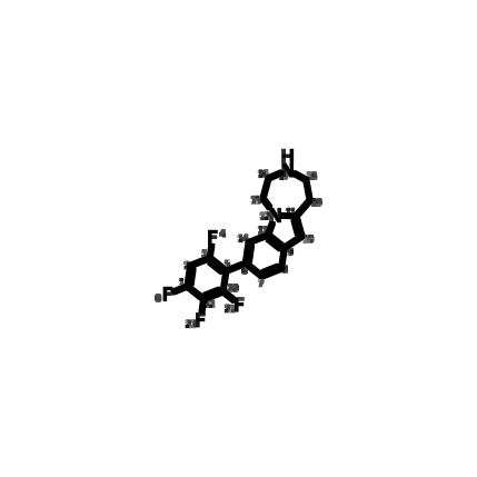 Fc1cc(F)c(-c2ccc3cc4n(c3c2)CCNCC4)c(F)c1F